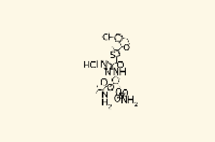 Cc1sc(C(=O)c2cncnc2N[C@@H]2C[C@H](COS(N)(=O)=O)[C@@H](OC(=O)[C@@H](N)C(C)C)C2)cc1[C@@H]1OCCc2ccc(Cl)cc21.Cl